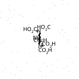 NC(=O)O.O=C(O)CN(CCCCCCN(CC(=O)O)CC(=O)O)CC(=O)O